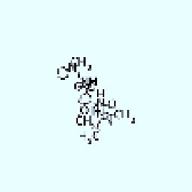 CCCc1nc(C)c2c(=O)[nH]c(-c3cc(S(=O)(=O)NCCN(C)c4ccccc4)ccc3OCC)nn12